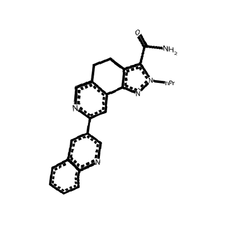 CCCn1nc2c(c1C(N)=O)CCc1cnc(-c3cnc4ccccc4c3)cc1-2